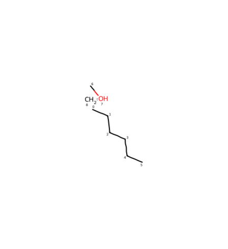 CCCCCC.CO.[CH2]